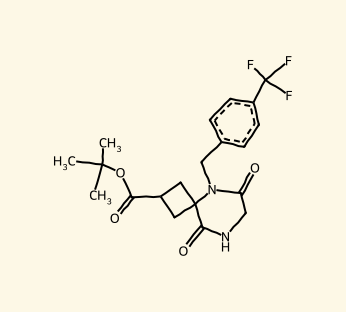 CC(C)(C)OC(=O)C1CC2(C1)C(=O)NCC(=O)N2Cc1ccc(C(F)(F)F)cc1